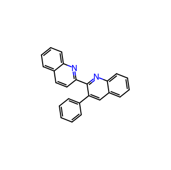 c1ccc(-c2cc3ccccc3nc2-c2ccc3ccccc3n2)cc1